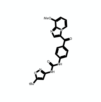 COc1cccn2c(C(=O)c3ccc(NC(=O)Nc4cc(C(C)(C)C)on4)cc3)cnc12